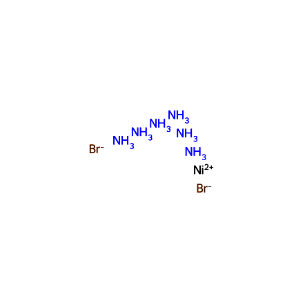 N.N.N.N.N.N.[Br-].[Br-].[Ni+2]